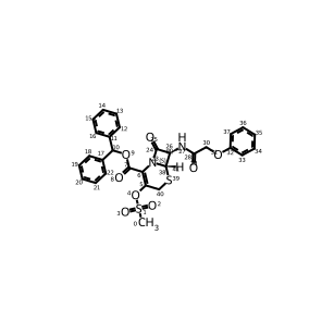 CS(=O)(=O)OC1=C(C(=O)OC(c2ccccc2)c2ccccc2)N2C(=O)[C@@H](NC(=O)COc3ccccc3)[C@@H]2SC1